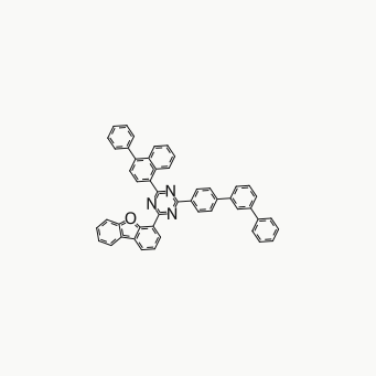 c1ccc(-c2cccc(-c3ccc(-c4nc(-c5ccc(-c6ccccc6)c6ccccc56)nc(-c5cccc6c5oc5ccccc56)n4)cc3)c2)cc1